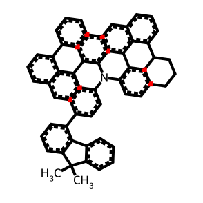 CC1(C)c2ccccc2-c2c(-c3ccc(N(c4ccccc4-c4cccc5cccc(-c6ccccc6)c45)c4ccccc4-c4cccc5cccc(C6CCCCC6)c45)cc3)cccc21